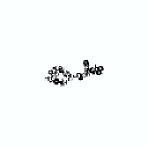 CCc1cccc2cccc(-c3ncc4c(N5CC6CCC(C5)N6)nc(OCC56CCCN5[C@@H](COC(=O)N5CCN(c7cc(C(C(=O)N8CCCC8C(=O)NC(C)c8ccc(-c9scnc9C)cc8)C(C)C)on7)CC5)CC6)nc4c3F)c12